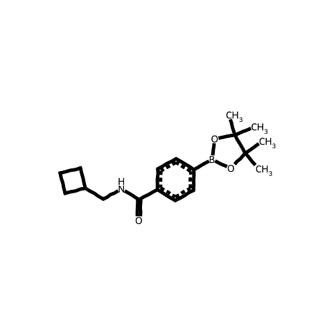 CC1(C)OB(c2ccc(C(=O)NCC3CCC3)cc2)OC1(C)C